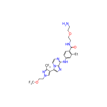 CCc1cc(Nc2nccn3c(-c4cn(CCOC(F)(F)F)nc4C(F)(F)F)cnc23)ccc1C(=O)NCCOCCN